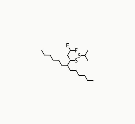 CCCCCCC(CCCCCC)[C@@H](CC(F)F)SSC(C)C